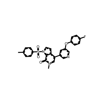 Cc1ccc(S(=O)(=O)n2ccc3c(-c4cncc(Oc5ccc(F)cc5)c4)cn(C)c(=O)c32)cc1